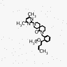 C/C=C\C=C(/OC)c1ccccc1CN1CCCC2(CCN(c3nc(C)cc(C)n3)CC2)C1=O